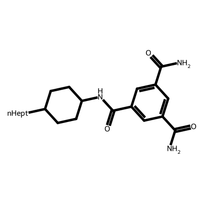 CCCCCCCC1CCC(NC(=O)c2cc(C(N)=O)cc(C(N)=O)c2)CC1